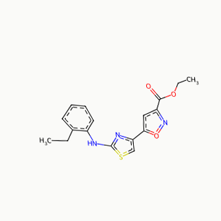 CCOC(=O)c1cc(-c2csc(Nc3ccccc3CC)n2)on1